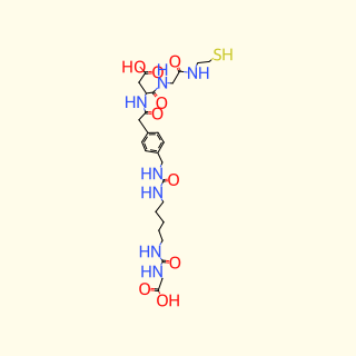 O=C(O)CNC(=O)NCCCCCNC(=O)NCc1ccc(CC(=O)NC(CC(=O)O)C(=O)NCC(=O)NCCS)cc1